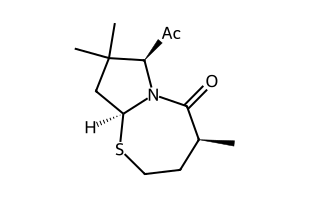 CC(=O)[C@H]1N2C(=O)[C@@H](C)CCS[C@H]2CC1(C)C